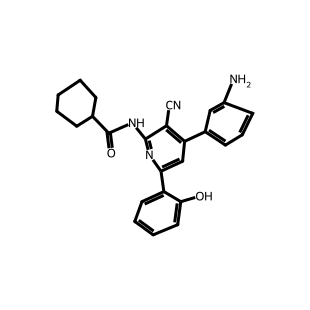 N#Cc1c(-c2cccc(N)c2)cc(-c2ccccc2O)nc1NC(=O)C1CCCCC1